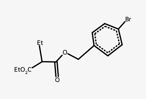 CCOC(=O)C(CC)C(=O)OCc1ccc(Br)cc1